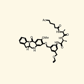 C=COCc1cc(COc2cc3c(cc2OC)C(=O)N2c4ccccc4C[C@H]2CN3)cc(NC(=O)[C@H](C)NC(=O)[C@H](C)NC(=O)CCCCC(C)=O)c1